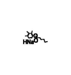 CCCCCC(=O)Oc1ccc(C)c(C)c1C.[NaH]